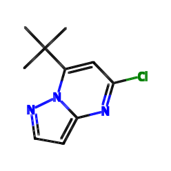 CC(C)(C)c1cc(Cl)nc2ccnn12